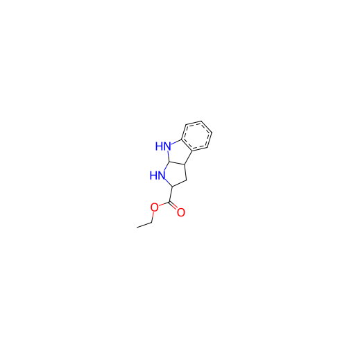 CCOC(=O)C1CC2c3ccccc3NC2N1